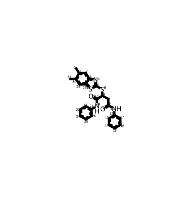 Cc1cc2nc(SC(CC(=O)Nc3ccccc3)C(=O)Nc3ccccc3)sc2cc1C